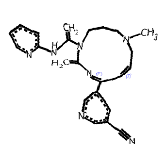 C=C1/N=C(c2cncc(C#N)c2)\C=C/CN(C)CCCN1C(=C)Nc1ccccn1